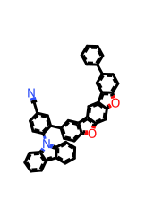 N#Cc1ccc(-n2c3ccccc3c3ccccc32)c(-c2ccc3oc4cc5oc6ccc(-c7ccccc7)cc6c5cc4c3c2)c1